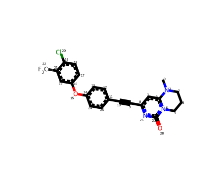 CN1CCCn2c1cc(C#Cc1ccc(Oc3ccc(Cl)c(C(F)(F)F)c3)cc1)nc2=O